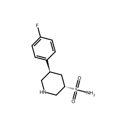 NS(=O)(=O)[C@@H]1CNC[C@@H](c2ccc(F)cc2)C1